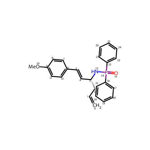 C=CC[C@H](/C=C/c1ccc(OC)cc1)NP(=O)(c1ccccc1)c1ccccc1